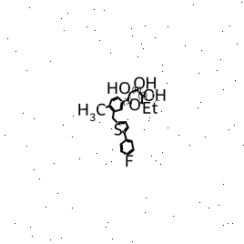 CCC1O[C@@H](c2ccc(C)c(Cc3ccc(-c4ccc(F)cc4)s3)c2)C(O)[C@H](O)[C@@H]1O